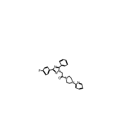 O=C(Cn1nc(-c2ccc(F)cc2)nc1-c1ccccc1)N1CCN(c2ccccn2)CC1